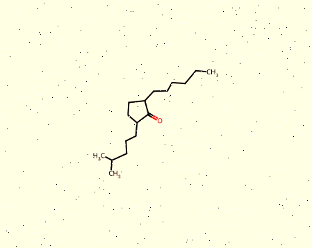 CCCCCCC1CCC(CCCC(C)C)C1=O